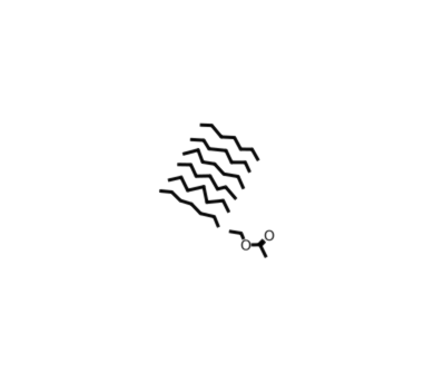 CCCCCCC.CCCCCCC.CCCCCCC.CCCCCCC.CCCCCCC.CCCCCCC.CCOC(C)=O